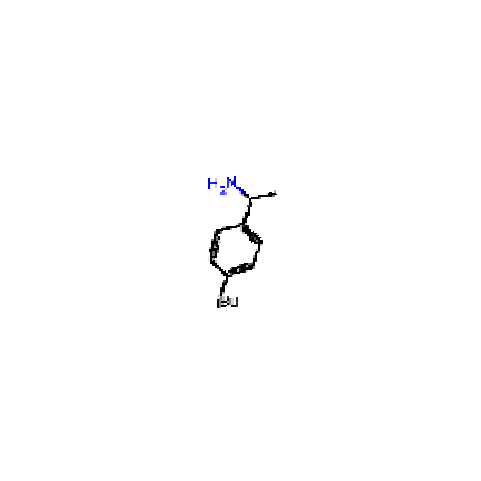 CCC(C)c1ccc(C(C)N)cc1